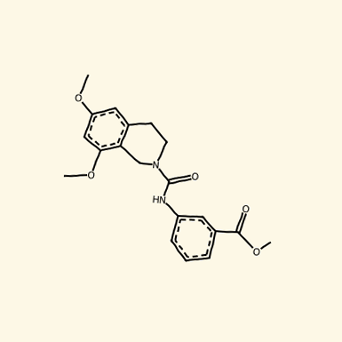 COC(=O)c1cccc(NC(=O)N2CCc3cc(OC)cc(OC)c3C2)c1